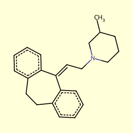 CC1CCCN(CC=C2c3ccccc3CCc3ccccc32)C1